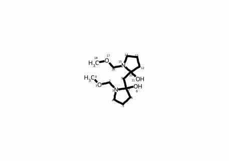 COCN1CCCC1(O)CC1(O)CCCN1COC